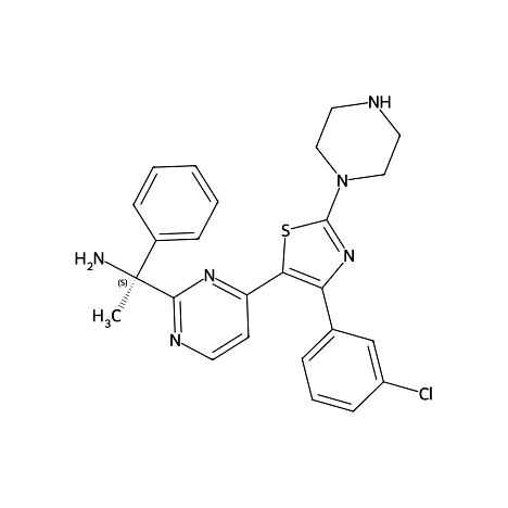 C[C@](N)(c1ccccc1)c1nccc(-c2sc(N3CCNCC3)nc2-c2cccc(Cl)c2)n1